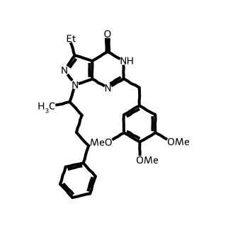 CCc1nn(C(C)CCCc2ccccc2)c2nc(Cc3cc(OC)c(OC)c(OC)c3)[nH]c(=O)c12